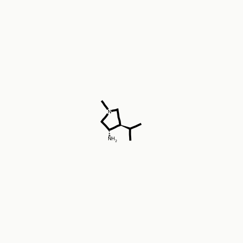 CC(C)[C@@H]1CN(C)C[C@H]1N